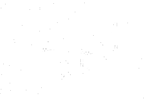 COc1cccc(OC)c1-n1c(NSC2CCCN(c3ncc(Cl)cn3)C2)nnc1-c1ccccc1